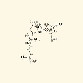 CC(C)CC(N)C(=O)O.CC(N)C(=O)O.N=C(N)NCCCC(N)C(=O)O.NC(CCC(=O)O)C(=O)O